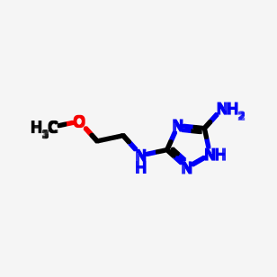 COCCNc1n[nH]c(N)n1